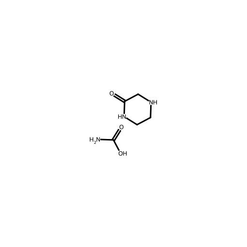 NC(=O)O.O=C1CNCCN1